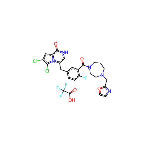 O=C(O)C(F)(F)F.O=C(c1cc(Cc2c[nH]c(=O)c3cc(Cl)c(Cl)n23)ccc1F)N1CCCN(Cc2ncco2)CC1